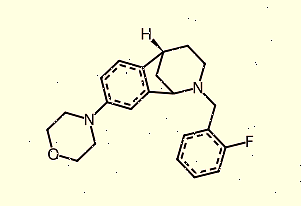 Fc1ccccc1CN1CC[C@@H]2CC1c1cc(N3CCOCC3)ccc12